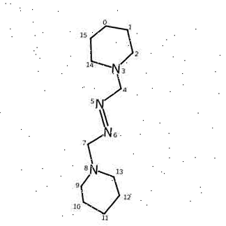 C1CCN(CN=NCN2CCCCC2)CC1